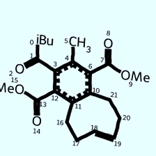 CCC(C)C(=O)c1c(C)c(C(=O)OC)c2c(c1C(=O)OC)CC/C=C/CC2